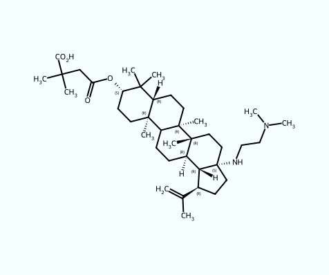 C=C(C)[C@@H]1CC[C@]2(NCCN(C)C)CC[C@]3(C)[C@H](CCC4[C@@]5(C)CC[C@H](OC(=O)CC(C)(C)C(=O)O)C(C)(C)[C@@H]5CC[C@]43C)[C@@H]12